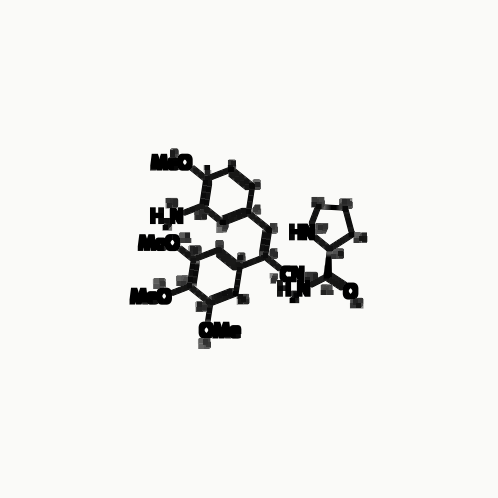 COc1ccc(C=C(C#N)c2cc(OC)c(OC)c(OC)c2)cc1N.NC(=O)[C@@H]1CCCN1